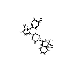 O=S1(=O)N=C(N2CCN(c3nnc(C(F)(F)F)n3-c3ccc(Cl)cc3)CC2)c2ccccc21